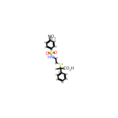 CC(SCCNS(=O)(=O)c1ccc([N+](=O)[O-])cc1)(C(=O)O)c1ccccc1